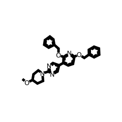 COC1CCN(c2ncc(-c3ccc(OCc4ccccc4)nc3OCc3ccccc3)cn2)CC1